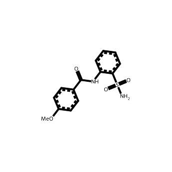 COc1ccc(C(=O)Nc2ccccc2S(N)(=O)=O)cc1